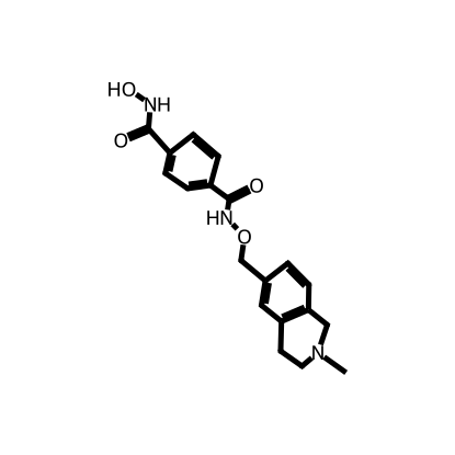 CN1CCc2cc(CONC(=O)c3ccc(C(=O)NO)cc3)ccc2C1